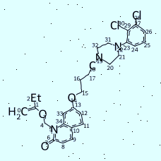 C=C(CC)OCn1c(=O)ccc2ccc(OCCCCN3CCN(c4cccc(Cl)c4Cl)CC3)cc21